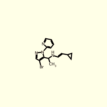 CC(NC=CC1CC1)c1c(Br)cnn1-c1ccccn1